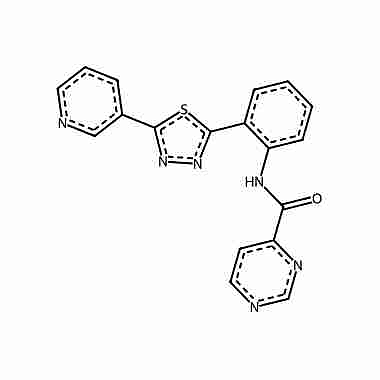 O=C(Nc1ccccc1-c1nnc(-c2cccnc2)s1)c1ccncn1